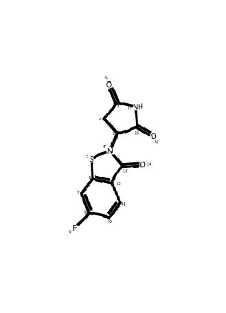 O=C1CC(n2sc3cc(F)ccc3c2=O)C(=O)N1